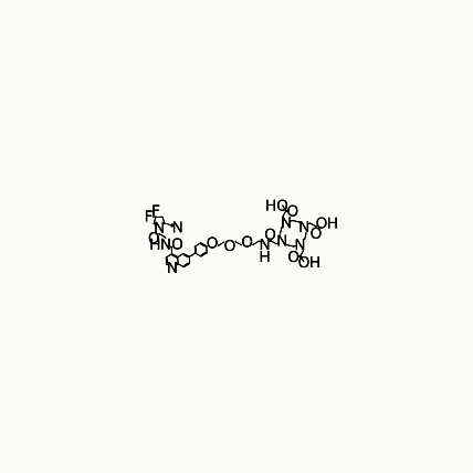 N#C[C@@H]1CC(F)(F)CN1C(=O)CNC(=O)c1ccnc2ccc(-c3ccc(OCCOCCOCCNC(=O)CN4CCN(CC(=O)O)CCN(CC(=O)O)CCN(CC(=O)O)CC4)cc3)cc12